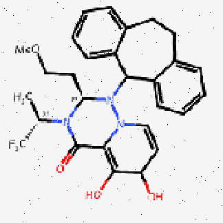 COCC[C@@H]1N([C@@H](C)C(F)(F)F)C(=O)C2=C(O)C(O)C=CN2N1C1c2ccccc2CCc2ccccc21